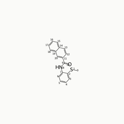 CSc1ccccc1NC(=O)c1ccc2ccccc2c1